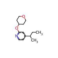 CCC(C)c1ccnc(OC2CCOCC2)c1